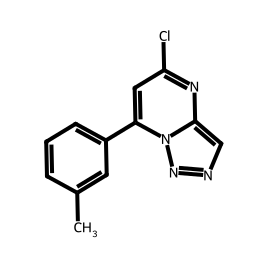 Cc1cccc(-c2cc(Cl)nc3cnnn23)c1